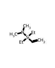 C=C[Si](CC)(CC)N(C)C